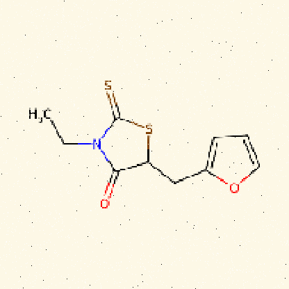 CCN1C(=O)C(Cc2ccco2)SC1=S